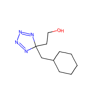 OCCC1(CC2CCCCC2)N=NN=N1